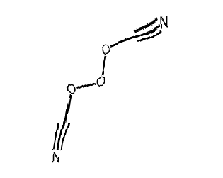 N#COOOC#N